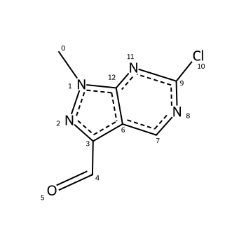 Cn1nc(C=O)c2cnc(Cl)nc21